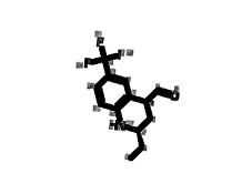 CC[C@@H]1CC(C=O)c2cc(C(F)(F)F)ccc2N1